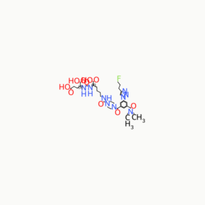 CCN(CC)C(=O)c1cc(C(=O)N2CCN(C(=O)NCCCC[C@@H](NC(=O)N[C@@H](CCC(=O)O)C(=O)O)C(=O)O)CC2)cc(-n2cc(CCCF)nn2)c1